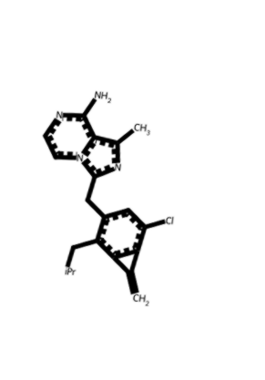 C=C1c2c(Cl)cc(Cc3nc(C)c4c(N)nccn34)c(CC(C)C)c21